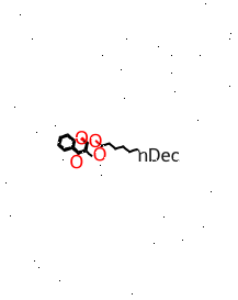 CCCCCCCCCCCCCCCC(=O)Oc1oc2ccccc2c(=O)c1C